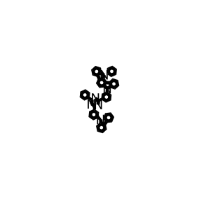 c1ccc(-c2nc(-c3cccc(-n4c5ccccc5c5ccccc54)c3)nc(-c3cccc(-n4c5ccccc5c5c4ccc4c6ccccc6n(-c6ccccc6)c45)c3)n2)cc1